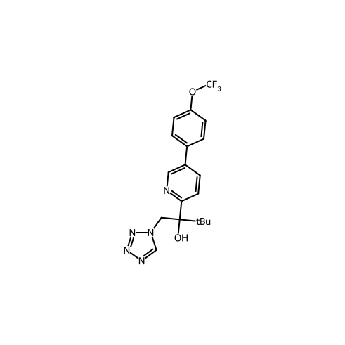 CC(C)(C)C(O)(Cn1cnnn1)c1ccc(-c2ccc(OC(F)(F)F)cc2)cn1